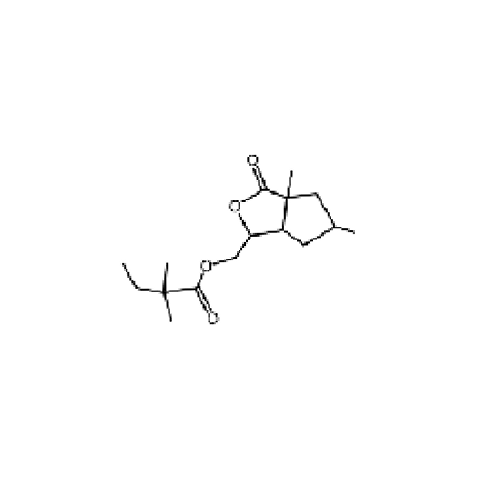 CCC(C)(C)C(=O)OCC1OC(=O)C2(C)CC(C)CC12